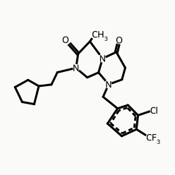 CC1C(=O)N(CCC2CCCC2)CC2N(Cc3ccc(C(F)(F)F)c(Cl)c3)CCC(=O)N12